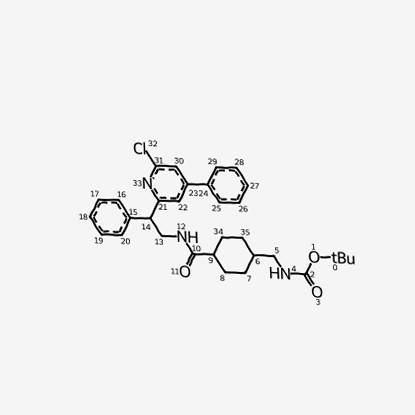 CC(C)(C)OC(=O)NCC1CCC(C(=O)NCC(c2ccccc2)c2cc(-c3ccccc3)cc(Cl)n2)CC1